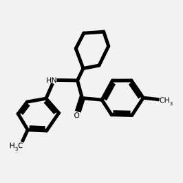 Cc1ccc(NC(C(=O)c2ccc(C)cc2)C2CCCCC2)cc1